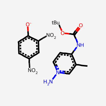 Cc1c[n+](N)ccc1NC(=O)OC(C)(C)C.O=[N+]([O-])c1ccc([O-])c([N+](=O)[O-])c1